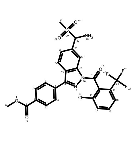 COC(=O)c1ccc(-c2nn(C(=O)c3c(Cl)cccc3C(F)(F)F)c3cc(C(N)S(C)(=O)=O)ccc23)cc1